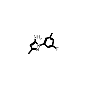 Cc1cc(F)cc(-n2nc(C)cc2N)c1